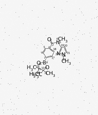 CN(C(=O)c1ccc(B2OC(C)(C)C(C)(C)O2)cc1)c1ccn(C)n1